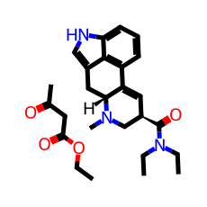 CCN(CC)C(=O)[C@@H]1C=C2c3cccc4[nH]cc(c34)C[C@H]2N(C)C1.CCOC(=O)CC(C)=O